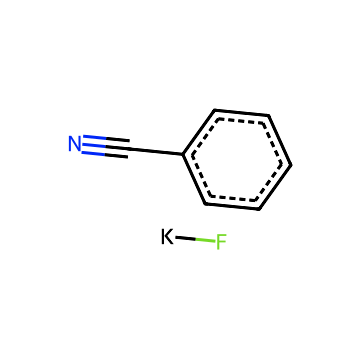 N#Cc1ccccc1.[F][K]